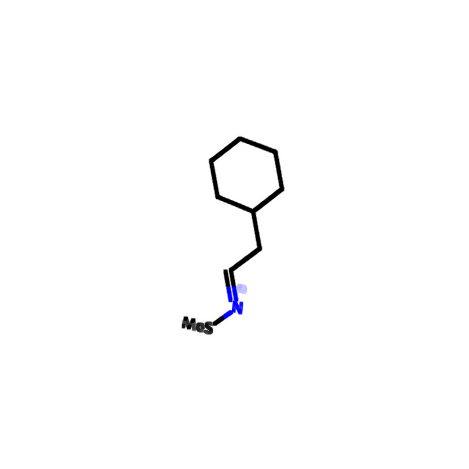 CS/N=C/CC1CCCCC1